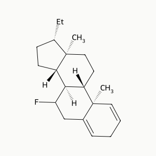 CC[C@H]1CC[C@H]2[C@@H]3C(F)CC4=CCC=C[C@]4(C)[C@H]3CC[C@]12C